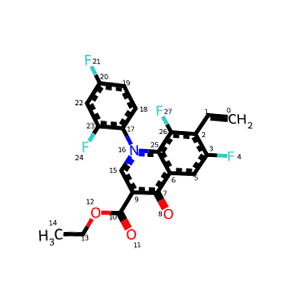 C=Cc1c(F)cc2c(=O)c(C(=O)OCC)cn(-c3ccc(F)cc3F)c2c1F